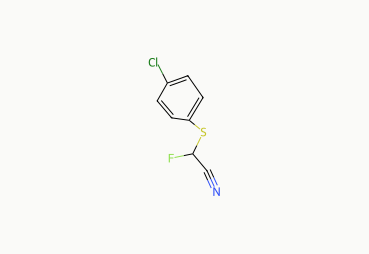 N#CC(F)Sc1ccc(Cl)cc1